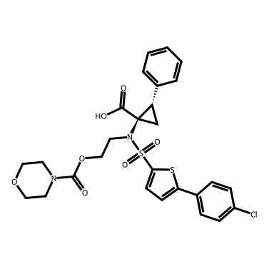 O=C(OCCN([C@]1(C(=O)O)C[C@H]1c1ccccc1)S(=O)(=O)c1ccc(-c2ccc(Cl)cc2)s1)N1CCOCC1